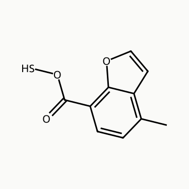 Cc1ccc(C(=O)OS)c2occc12